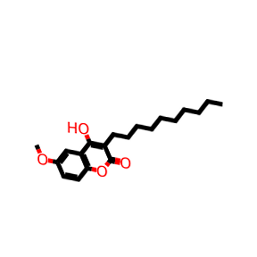 CCCCCCCCCCc1c(O)c2cc(OC)ccc2oc1=O